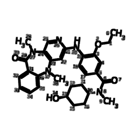 CCOc1cc(C(=O)N(C)[C@H]2CC[C@H](O)CC2)ccc1Nc1cc2c(cn1)N(C)C(=O)c1ccccc1N2C